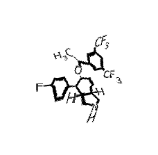 C[C@@H](O[C@@H]1CC[C@@H]2CNC[C@@H]2[C@H]1c1ccc(F)cc1)c1cc(C(F)(F)F)cc(C(F)(F)F)c1